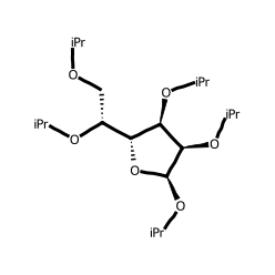 CC(C)OC[C@@H](OC(C)C)[C@H]1O[C@H](OC(C)C)[C@H](OC(C)C)[C@@H]1OC(C)C